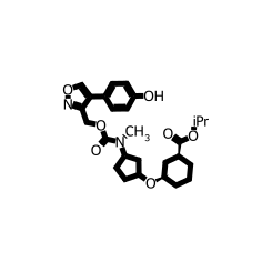 CC(C)OC(=O)[C@H]1CCC[C@@H](OC2CCC(N(C)C(=O)OCc3nocc3-c3ccc(O)cc3)C2)C1